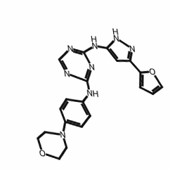 c1coc(-c2cc(Nc3ncnc(Nc4ccc(N5CCOCC5)cc4)n3)[nH]n2)c1